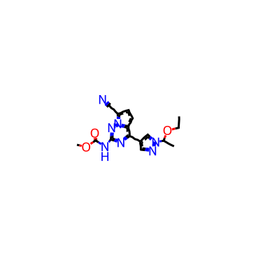 CCOC(C)n1cc(-c2nc(NC(=O)OC)nn3c(C#N)ccc23)cn1